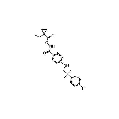 CCC1(C(=O)ONC(=O)c2ccc(NCC(C)(C)c3ccc(F)cc3)nn2)CC1